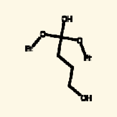 CCOC(O)(CCCO)OCC